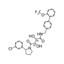 O=C(NCc1ccc(-c2ccccc2OC(F)(F)F)cc1)[C@H](O)[C@@H](O)C(=O)N1CCCC1c1cccc(Cl)c1